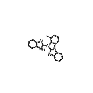 Cc1cccc2c1n(-c1nc3ccccc3[nH]1)c1nc3ccccc3n21